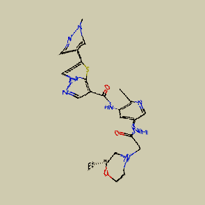 CC[C@@H]1CN(CC(=O)Nc2cnc(C)c(NC(=O)c3cnn4cc(-c5cnn(C)c5)sc34)c2)CCO1